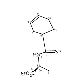 CCOC(=O)[C@H](C)NC(=S)C1CC=CCC1